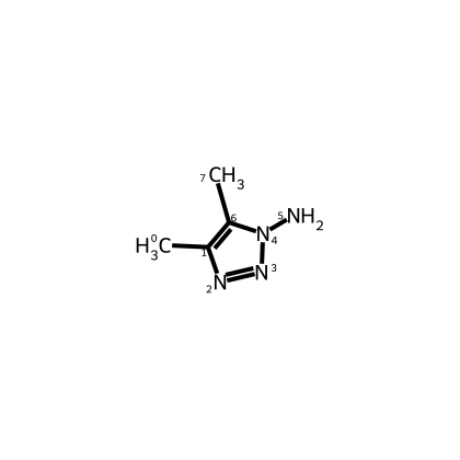 Cc1nnn(N)c1C